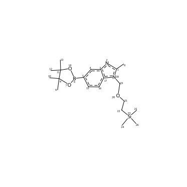 Cc1nc2cc(B3OC(C)(C)C(C)(C)O3)ccc2n1COCC[Si](C)(C)C